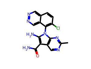 Cc1ncc2c(C(N)=O)c(N)n(-c3c(Cl)ccc4cnncc34)c2n1